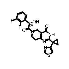 O=C([C@H](O)c1cccc(F)c1F)N1CCc2nc(C3(c4cscn4)CC3)[nH]c(=O)c2C1